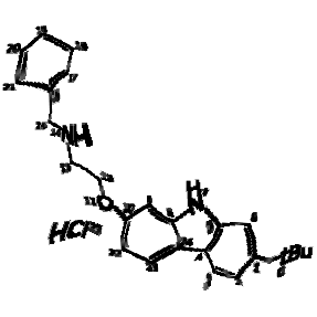 CC(C)(C)c1ccc2c(c1)[nH]c1cc(OCCNCc3ccccc3)ccc12.Cl